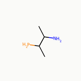 CC(N)C(C)P